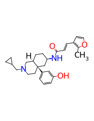 Cc1occc1/C=C/C(=O)N[C@@H]1CC[C@@H]2CN(CC3CC3)CC[C@@]2(c2cccc(O)c2)C1